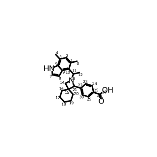 Cc1cc(C)c2[nH]ccc2c1C(C)N1CC2(CCCCC2)C1c1ccc(C(=O)O)cc1